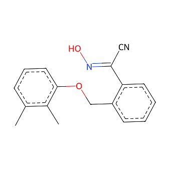 Cc1cccc(OCc2ccccc2C(C#N)=NO)c1C